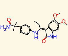 CC/C(Nc1ccc(C(C)(C)C(N)=O)cc1)=C1/C(=O)Nc2cc(OC)c(OC)cc21